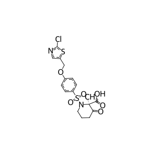 C[C@]1(C(=O)O)C(=O)CCCN1S(=O)(=O)c1ccc(OCc2cnc(Cl)s2)cc1